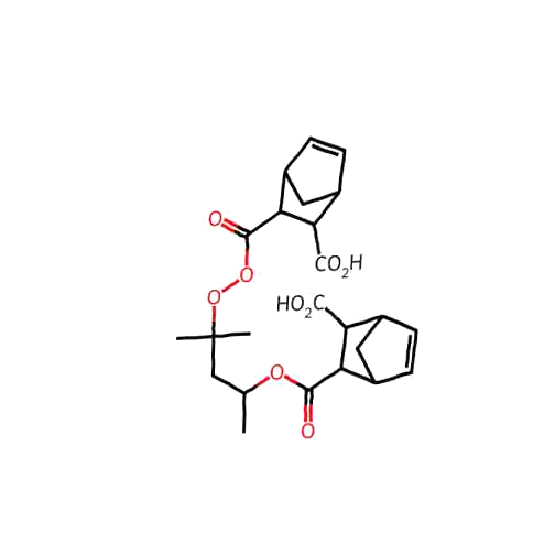 CC(CC(C)(C)OOC(=O)C1C2C=CC(C2)C1C(=O)O)OC(=O)C1C2C=CC(C2)C1C(=O)O